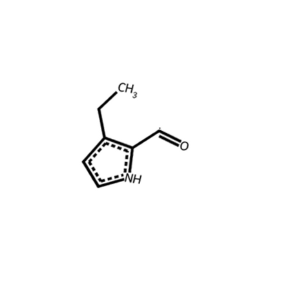 CCc1cc[nH]c1[C]=O